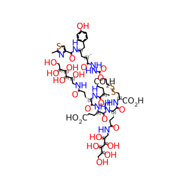 Cc1nc(C(=O)N[C@@H](Cc2ccc(O)cc2)C[C@H](C)C(=O)NNC(=O)OCCSSC[C@@H](NC(=O)[C@H](CCC(=O)NC[C@H](O)[C@@H](O)[C@H](O)[C@H](O)CO)NC(=O)[C@@H](CCC(=O)O)NC(=O)[C@H](CCC(=O)NC[C@H](O)[C@@H](O)[C@H](O)[C@H](O)CO)NC(=O)[C@H](C)CCC(=O)O)C(=O)O)cs1